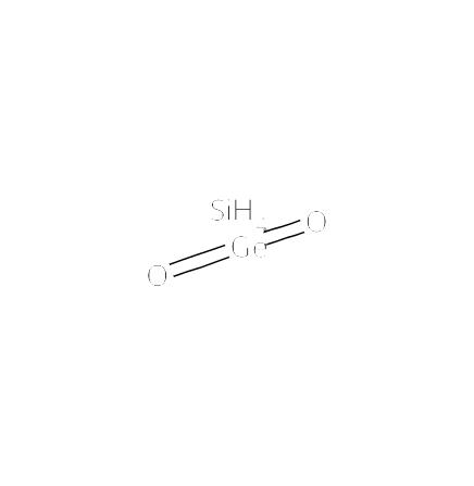 [O]=[Ge]=[O].[SiH4]